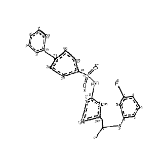 CC(Sc1cccc(F)c1)c1nsc(NS(=O)(=O)c2ccc(-c3ccccc3)cc2)n1